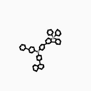 c1ccc(-c2ccc(N(c3ccc(-c4ccc5c(c4)-c4ccccc4[Si]5(c4ccccc4)c4ccccc4)cc3)c3ccc(-c4cccc5ccccc45)cc3)cc2)cc1